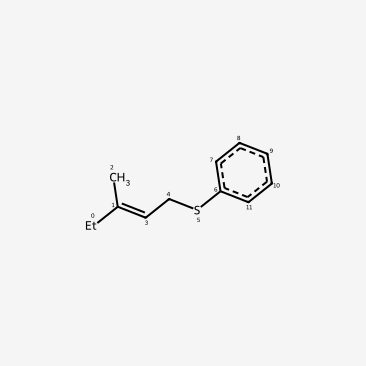 CC/C(C)=C/CSc1ccccc1